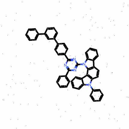 c1ccc(-c2cccc(-c3ccc(-c4nc(-c5ccccc5)nc(-n5c6ccccc6c6ccc7c(c8ccccc8n7-c7ccccc7)c65)n4)cc3)c2)cc1